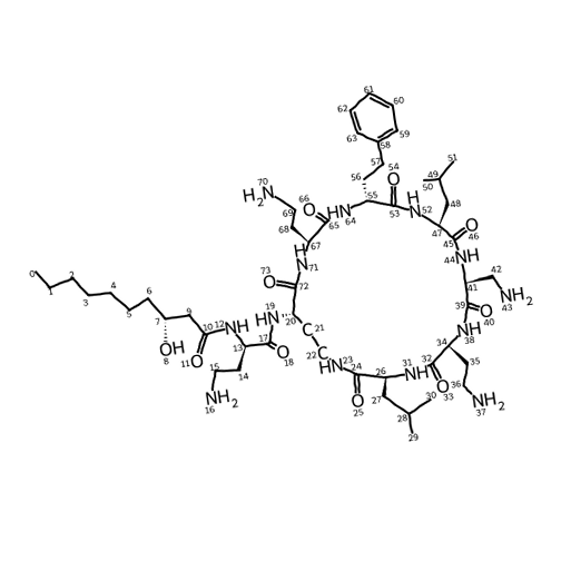 CCCCCCC[C@@H](O)CC(=O)N[C@H](CCN)C(=O)N[C@H]1CCNC(=O)[C@H](CC(C)C)NC(=O)[C@H](CCN)NC(=O)[C@H](CN)NC(=O)[C@H](CC(C)C)NC(=O)[C@@H](CCc2ccccc2)NC(=O)[C@H](CCN)NC1=O